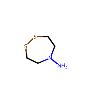 NN1CCSSCC1